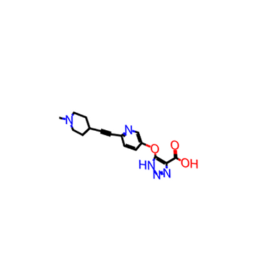 CN1CCC(C#Cc2ccc(Oc3[nH]nnc3C(=O)O)cn2)CC1